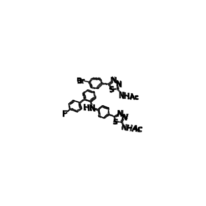 CC(=O)Nc1nnc(-c2ccc(Br)cc2)s1.CC(=O)Nc1nnc(-c2ccc(Nc3ccccc3-c3ccc(F)cc3)cc2)s1